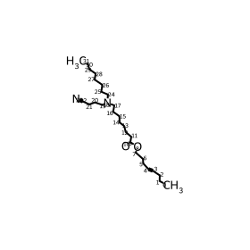 CCCC#CCCCOC(=O)CCCCCCCN(CCCC#N)CCCCCCCC